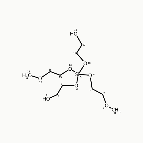 COCCO[Si](OCCO)(OCCO)OCCOC